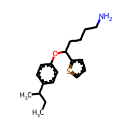 CCC(C)c1ccc(OC(CCCCN)c2cccs2)cc1